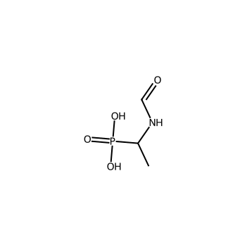 CC(NC=O)P(=O)(O)O